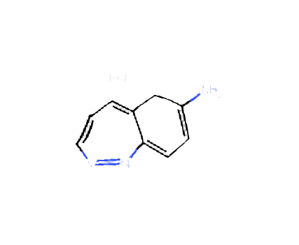 Cl.NC1=CC=C2N=NC=CC=C2C1